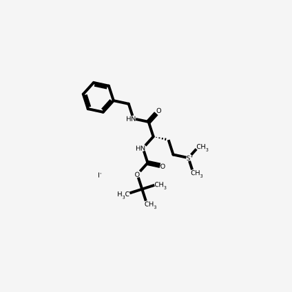 C[S+](C)CC[C@H](NC(=O)OC(C)(C)C)C(=O)NCc1ccccc1.[I-]